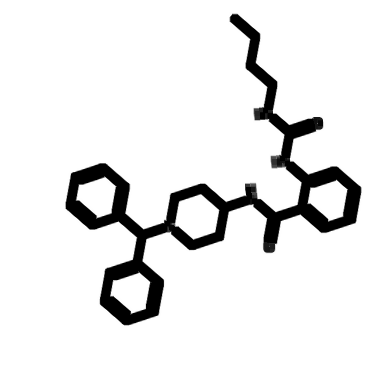 CCCCNC(=O)Nc1ccccc1C(=O)NC1CCN(C(c2ccccc2)c2ccccc2)CC1